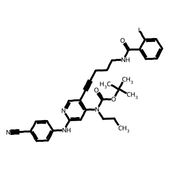 CCCN(C(=O)OC(C)(C)C)c1cc(Nc2ccc(C#N)cc2)ncc1C#CCCCNC(=O)c1ccccc1I